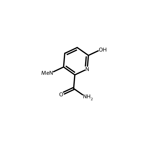 CNc1ccc(O)nc1C(N)=O